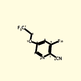 N#Cc1ncc(OCC(F)(F)F)cc1F